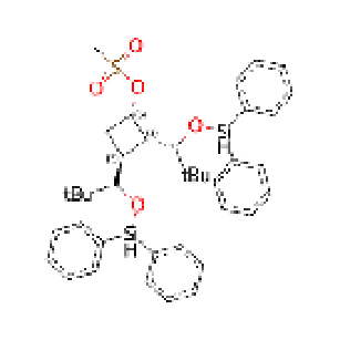 CC(C)(C)C(O[SiH](c1ccccc1)c1ccccc1)[C@H]1[C@@H](OS(C)(=O)=O)C[C@@H]1C(O[SiH](c1ccccc1)c1ccccc1)C(C)(C)C